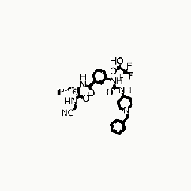 CC(C)C[C@H](NC(=O)c1cccc(NC(=O)NC2CCN(Cc3ccccc3)CC2)c1)C(=O)NCC#N.O=C(O)C(F)(F)F